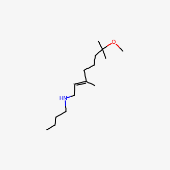 CCCCNC/[C]=C(\C)CCCC(C)(C)OC